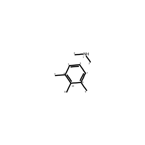 CNC.Cc1cccc(C)c1C